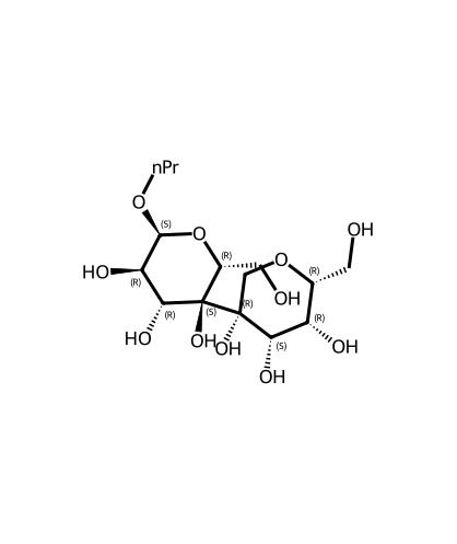 CCCO[C@H]1O[C@H](CO)[C@](O)([C@@]2(O)CO[C@H](CO)[C@H](O)[C@@H]2O)[C@H](O)[C@H]1O